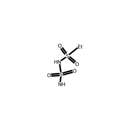 CCS(=O)(=O)NS([NH])(=O)=O